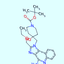 CCOCc1nc2c(N)nc3ccccc3c2n1CC1(O)CCN(C(=O)OC(C)(C)C)CC1